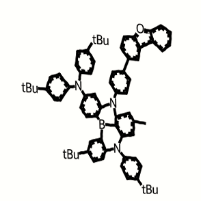 Cc1cc2c3c(c1)N(c1ccc(-c4ccc5oc6ccccc6c5c4)cc1)c1cc(N(c4ccc(C(C)(C)C)cc4)c4ccc(C(C)(C)C)cc4)ccc1B3c1cc(C(C)(C)C)ccc1N2c1ccc(C(C)(C)C)cc1